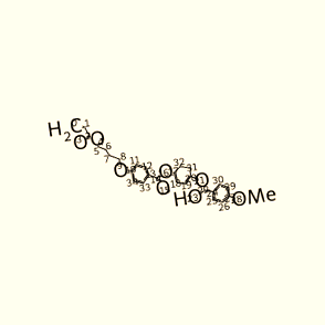 C=CC(=O)OCCCCOc1ccc(C(=O)OC2=CC=C(OC(O)c3ccc(OC)cc3)CC2)cc1